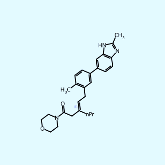 CCC/C(=C\Cc1cc(-c2ccc3nc(C)[nH]c3c2)ccc1C)CC(=O)N1CCOCC1